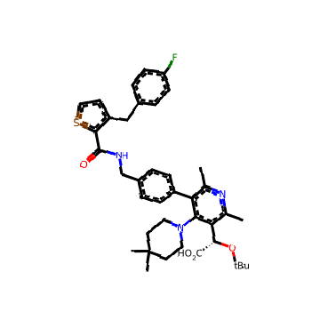 Cc1nc(C)c([C@H](OC(C)(C)C)C(=O)O)c(N2CCC(C)(C)CC2)c1-c1ccc(CNC(=O)c2sccc2Cc2ccc(F)cc2)cc1